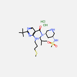 CSCCCNc1nc(C(C)(C)C)ncc1C(=O)N(CC(C)C)[C@@H]1CNC[C@H](NS(C)(=O)=O)C1.Cl.Cl